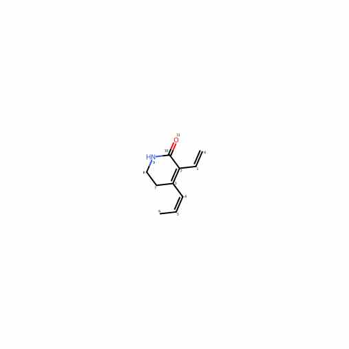 C=CC1=C(/C=C\C)CCNC1=O